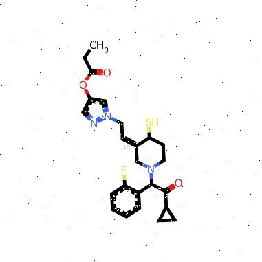 CCC(=O)Oc1cnn(C/C=C2/CN(C(C(=O)C3CC3)c3ccccc3F)CCC2S)c1